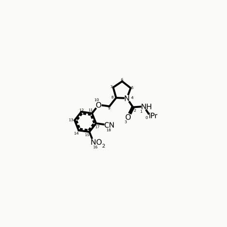 CC(C)NC(=O)N1CCCC1COc1cccc([N+](=O)[O-])c1C#N